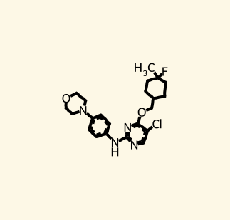 CC1(F)CCC(COc2nc(Nc3ccc(N4CCOCC4)cc3)ncc2Cl)CC1